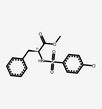 COC(=O)[C@H](Cc1ccccc1)NS(=O)(=O)c1ccc(Cl)cc1